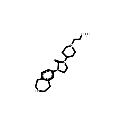 O=C(O)CCN1CCC(N2CCN(c3ccc4c(c3)CCNCC4)C2=O)CC1